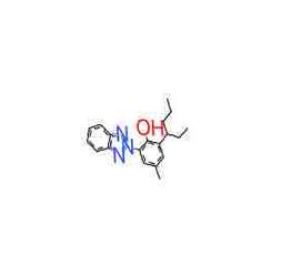 CCCC(CC)c1cc(C)cc(-n2nc3ccccc3n2)c1O